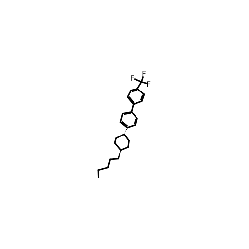 CCCCC[C@H]1CC[C@H](c2ccc(-c3ccc(C(F)(F)F)cc3)cc2)CC1